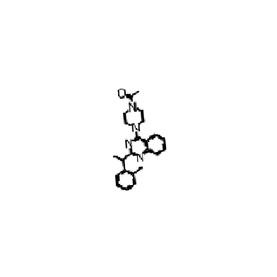 CC(=O)N1CCN(c2nc(C(C)c3ccccc3C)nc3ccccc23)CC1